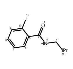 CC(C)CNC(=O)c1ccccc1I